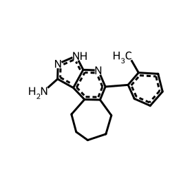 Cc1ccccc1-c1nc2[nH]nc(N)c2c2c1CCCCC2